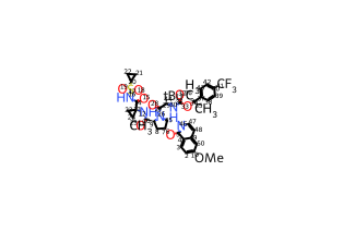 COc1ccc2c(O[C@@H]3C[C@@H](C(=O)N[C@]4(C(=O)NS(=O)(=O)C5CC5)C[C@H]4C)N(C(=O)[C@@H](NC(=O)OC(C)(C)c4ccc(C(F)(F)F)cc4)C(C)(C)C)C3)nccc2c1